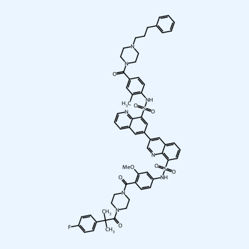 COc1cc(NS(=O)(=O)c2cccc3cc(-c4cc(S(=O)(=O)Nc5ccc(C(=O)N6CCN(CCCc7ccccc7)CC6)cc5C)c5ncccc5c4)cnc23)ccc1C(=O)N1CCN(C(=O)C(C)(C)c2ccc(F)cc2)CC1